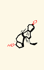 C=C[C@@H]1CC2=CC(=O)CC[C@@H]2[C@H]2CC[C@@]3(C)C(=CC[C@@H]3O)[C@@H]21